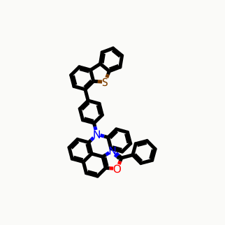 c1ccc(-c2nc3c(ccc4cccc(N(c5ccccc5)c5ccc(-c6cccc7c6sc6ccccc67)cc5)c43)o2)cc1